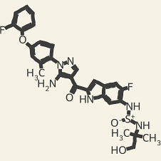 Cc1cc(Oc2ccccc2F)ccc1-n1ncc(C(=O)c2cc3cc(F)c(N[S+]([O-])NC(C)(C)CO)cc3[nH]2)c1N